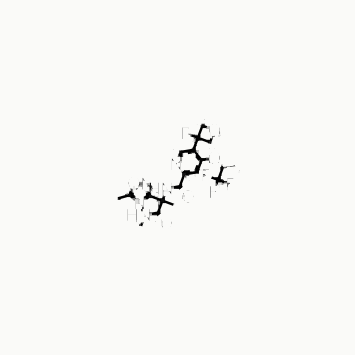 CNC(=O)C(C)(NC(=O)c1cc(O[C@@H](C)C(F)(F)F)c(C2(F)COC2)cn1)c1noc(C)n1